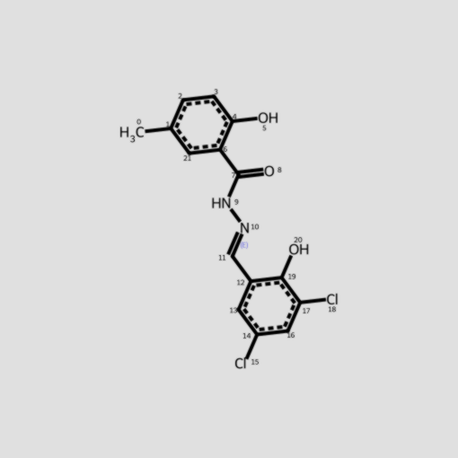 Cc1ccc(O)c(C(=O)N/N=C/c2cc(Cl)cc(Cl)c2O)c1